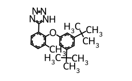 Cc1cccc(-c2nnn[nH]2)c1Oc1cc(C(C)(C)C)cc(C(C)(C)C)c1